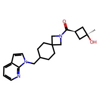 C[C@]1(O)C[C@@H](C(=O)N2CC3(CCC(Cn4ccc5cccnc54)CC3)C2)C1